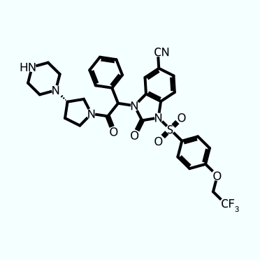 N#Cc1ccc2c(c1)n(C(C(=O)N1CC[C@H](N3CCNCC3)C1)c1ccccc1)c(=O)n2S(=O)(=O)c1ccc(OCC(F)(F)F)cc1